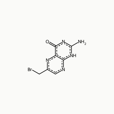 Nc1nc(=O)c2nc(CBr)cnc2[nH]1